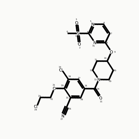 CS(=O)(=O)c1nccc(OC2CCN(C(=O)c3cc(Cl)c(OCCCl)c(C#N)c3)CC2)n1